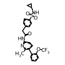 Cc1nc(NC(=O)Cc2ccc(S(=O)(=O)NC3CC3)cc2)ccc1-c1ccccc1OC(F)(F)F